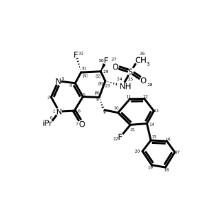 CC(C)n1cnc2c(c1=O)[C@@H](Cc1cccc(-c3ccccc3)c1F)[C@@H](NS(C)(=O)=O)[C@H](F)[C@H]2F